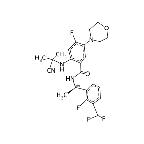 C[C@@H](NC(=O)c1cc(N2CCOCC2)c(F)cc1NC(C)(C)C#N)c1cccc(C(F)F)c1F